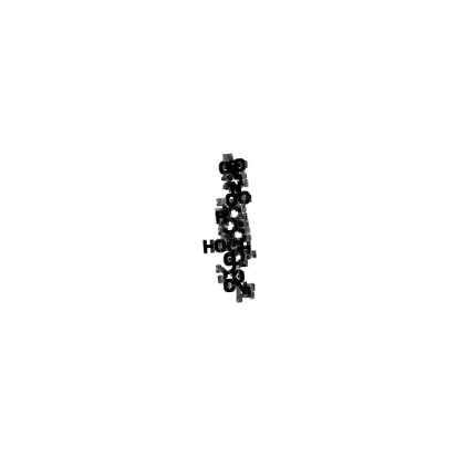 CC(C)[C@@H](OC(=O)N1CCC1)C1C[C@@H](C)[C@H]2C(O1)[C@H](O)[C@@]1(C)C3CC[C@H]4C(C)(C)C(OC(=O)N5CCN(S(C)(=O)=O)CC5)CC[C@@]45C[C@@]35CC[C@]21C